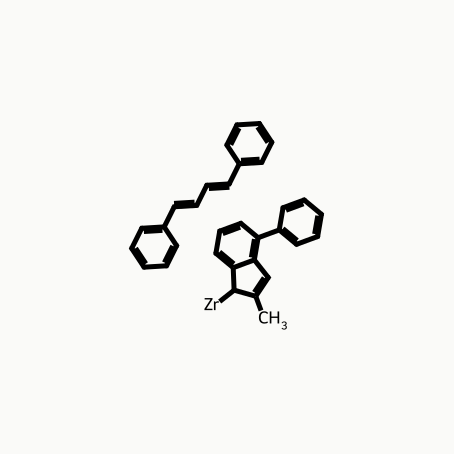 C(C=Cc1ccccc1)=Cc1ccccc1.CC1=Cc2c(-c3ccccc3)cccc2[CH]1[Zr]